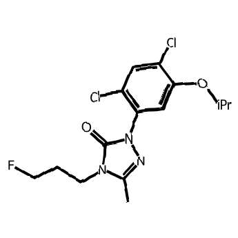 Cc1nn(-c2cc(OC(C)C)c(Cl)cc2Cl)c(=O)n1CCCF